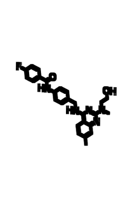 Cc1ccc2c(NCc3ccc(NC(=O)c4ccc(F)cc4)cc3)nc(N(C)CCO)nc2c1